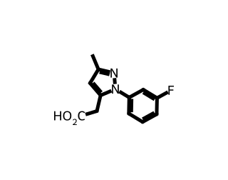 Cc1cc(CC(=O)O)n(-c2cccc(F)c2)n1